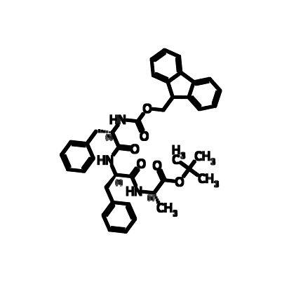 C[C@H](NC(=O)[C@@H](Cc1ccccc1)NC(=O)[C@H](Cc1ccccc1)NC(=O)OCC1c2ccccc2-c2ccccc21)C(=O)OC(C)(C)C